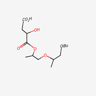 CC(C)COCC(C)OCC(C)OC(=O)C(O)CC(=O)O